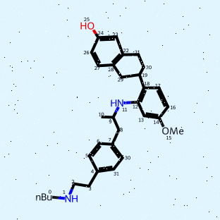 CCCCNCCc1ccc(CC(C)Nc2cc(OC)ccc2C2CCc3cc(O)ccc3C2)cc1